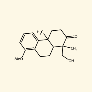 COc1cccc2c1CCC1C(C)(CO)C(=O)CCC21C